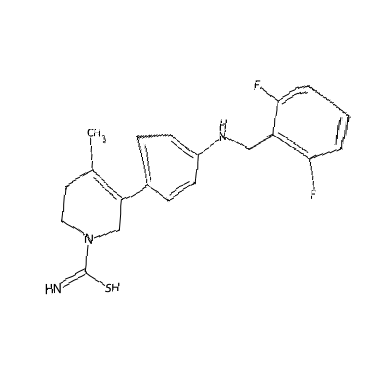 CC1=C(c2ccc(NCc3c(F)cccc3F)cc2)CN(C(=N)S)CC1